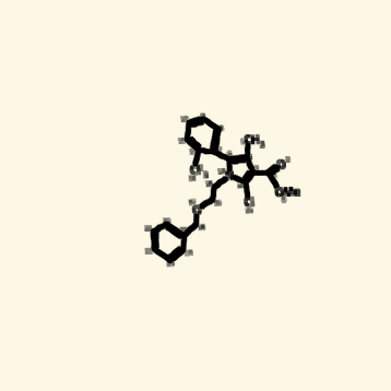 COC(=O)c1c(C)c(-c2ccccc2C(F)(F)F)n(CCOCc2ccccc2)c1Cl